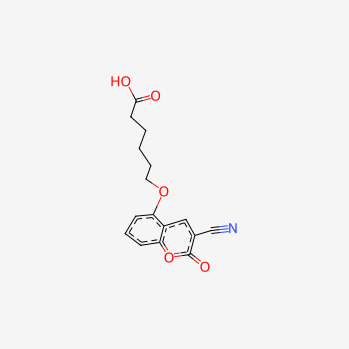 N#Cc1cc2c(OCCCCCC(=O)O)cccc2oc1=O